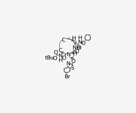 CC(C)(C)OC(=O)N[C@H]1CCCCC/C=C\[C@@H]2C[C@@]2(C(=O)NOc2ccccc2)NC(=O)[C@@H]2C[C@@H](Oc3nc4ccc(Br)cc4s3)CN2C1=O